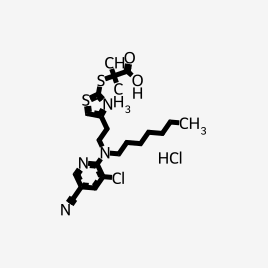 CCCCCCCN(CCc1csc(SC(C)(C)C(=O)O)n1)c1ncc(C#N)cc1Cl.Cl